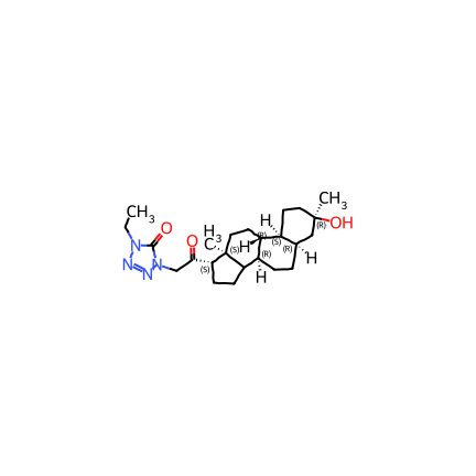 CCn1nnn(CC(=O)[C@H]2CCC3[C@@H]4CC[C@@H]5C[C@](C)(O)CC[C@@H]5[C@H]4CC[C@@]32C)c1=O